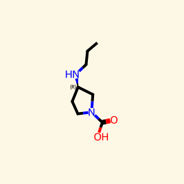 CCCN[C@@H]1CCN(C(=O)O)C1